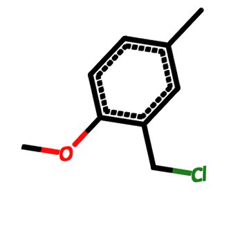 COc1ccc(C)cc1CCl